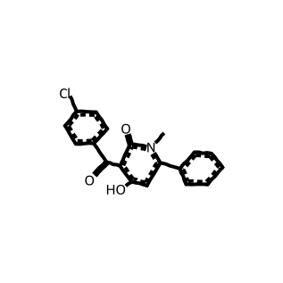 Cn1c(-c2ccccc2)cc(O)c(C(=O)c2ccc(Cl)cc2)c1=O